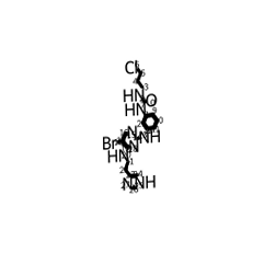 O=C(NCCCCl)Nc1cccc(Nc2ncc(Br)c(NCCc3c[nH]cn3)n2)c1